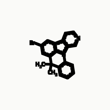 CC1(C)c2ccccc2-n2c3cnccc3c3cc(Br)cc1c32